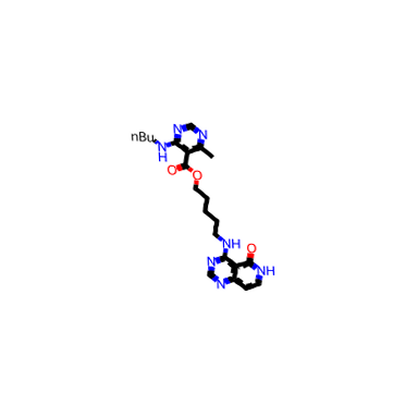 CCCCNc1ncnc(C)c1C(=O)OCCCCCNc1ncnc2cc[nH]c(=O)c12